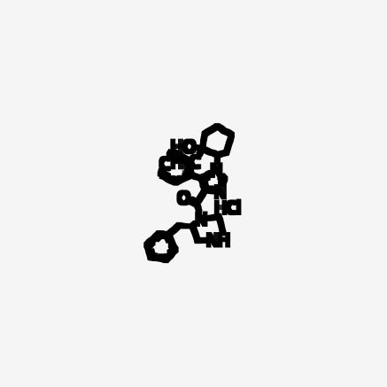 CC1(O)CCCCC1n1cnc(C(=O)N2CCNC[C@H]2Cc2ccccc2)c1-c1ccccc1.Cl